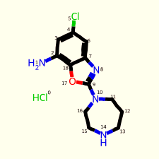 Cl.Nc1cc(Cl)cc2nc(N3CCCNCC3)oc12